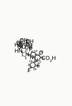 CC(OC(=O)NC1CCN(c2nc3c(cc2F)c(=O)c(C(=O)O)cn3-c2ccc(F)cc2F)C1)(P(=O)(O)O)P(=O)(O)O